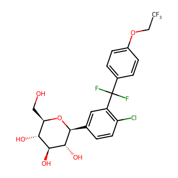 OC[C@H]1O[C@@H](c2ccc(Cl)c(C(F)(F)c3ccc(OCC(F)(F)F)cc3)c2)[C@H](O)[C@@H](O)[C@@H]1O